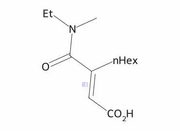 CCCCCC/C(=C\C(=O)O)C(=O)N(C)CC